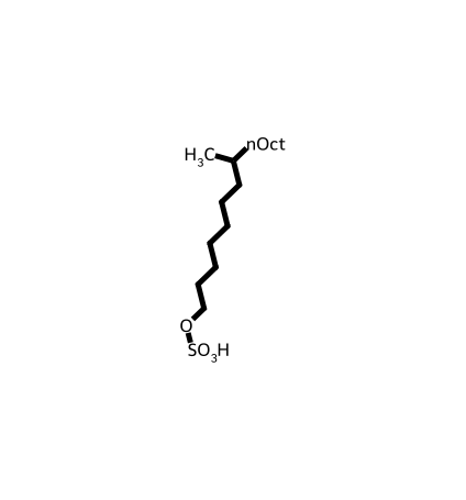 CCCCCCCCC(C)CCCCCCCOS(=O)(=O)O